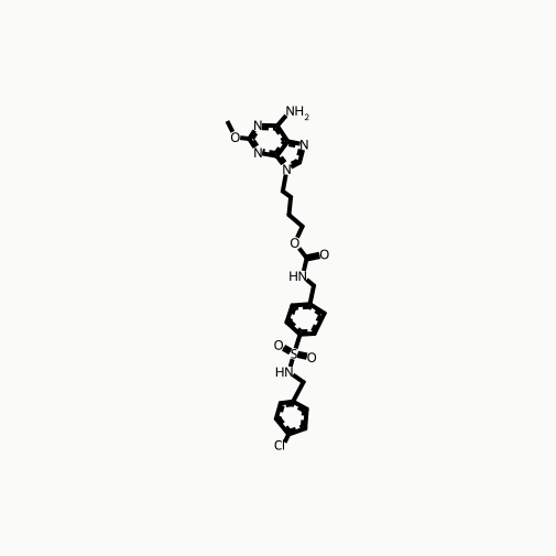 COc1nc(N)c2ncn(CCCCOC(=O)NCc3ccc(S(=O)(=O)NCc4ccc(Cl)cc4)cc3)c2n1